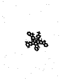 CC(C)(C)c1ccc(Nc2cc3c(cc2-c2c4c5c(c6cc7c(cc6n5-c5cc6c(cc5B4)C(C)(C)c4ccccc4-6)C(C)(C)CCC7(C)C)c4c2sc2ccccc24)-c2ccccc2C3(C)C)cc1